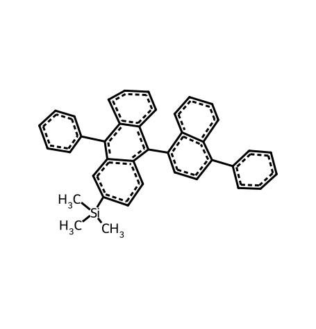 C[Si](C)(C)c1ccc2c(-c3ccc(-c4ccccc4)c4ccccc34)c3ccccc3c(-c3ccccc3)c2c1